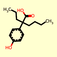 CCCCC(CCC)(C(=O)O)c1ccc(O)cc1